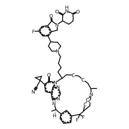 CC1CCCCCC(CCCCN2CCC(c3cc(F)cc4c3CN(C3CCC(=O)NC3=O)C4=O)CC2)n2c(=O)c(C3(C#N)CC3)cc3c(ncnc32)N[C@H](C)c2cccc(c2)C(F)(F)C2CCN1CC2